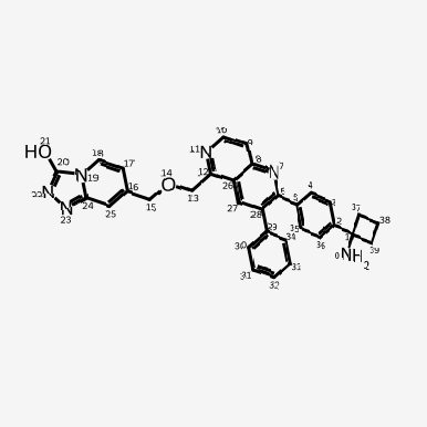 NC1(c2ccc(-c3nc4ccnc(COCc5ccn6c(O)nnc6c5)c4cc3-c3ccccc3)cc2)CCC1